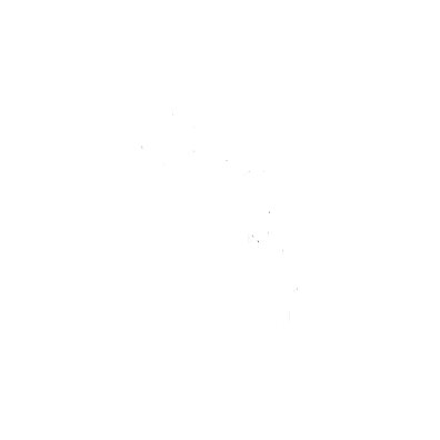 O=C1CC(c2ccccc2)CC(=O)C1=CNCCCCl